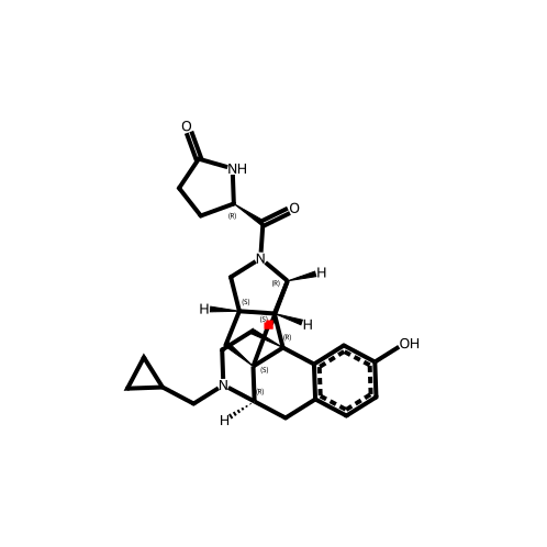 O=C1CC[C@H](C(=O)N2C[C@H]3C[C@@]45CC[C@@H]2[C@@H]3[C@@]42CCN(CC3CC3)[C@@H]5Cc3ccc(O)cc32)N1